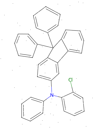 Clc1ccccc1N(c1ccccc1)c1ccc2c(c1)-c1ccccc1C2(c1ccccc1)c1ccccc1